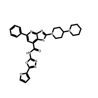 O=C(Nc1nnc(-c2ccco2)o1)c1cc(-c2ccccc2)nc2nc(N3CCC(N4CCCCC4)CC3)sc12